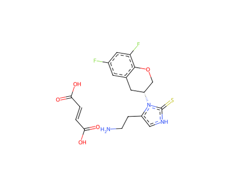 NCCc1c[nH]c(=S)n1[C@H]1COc2c(F)cc(F)cc2C1.O=C(O)/C=C/C(=O)O